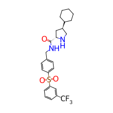 O=C(NCc1ccc(S(=O)(=O)c2cccc(C(F)(F)F)c2)cc1)[C@@H]1C[C@@H](C2CCCCC2)CN1